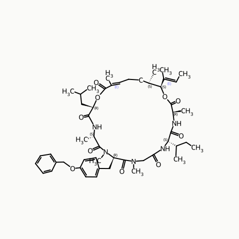 C/C=C(\C)[C@H]1OC(=O)[C@@H](C)NC(=O)[C@H](C(C)CC)NC(=O)CN(C)C(=O)[C@@H](Cc2ccc(OCc3ccccc3)cc2)N(C)C(=O)[C@H](C)NC(=O)[C@@H](CC(C)C)OC(=O)/C(C)=C/CC[C@@H]1C